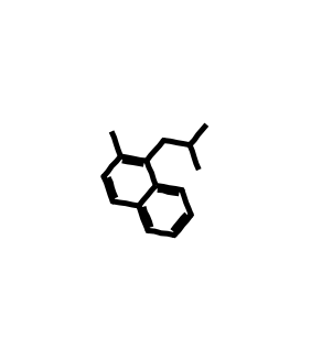 Cc1ccc2ccccc2c1CC(C)C